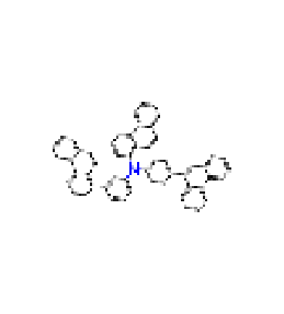 c1cc(-c2cccc3c2ccc2ccccc23)cc(N(c2ccc(-c3cc4ccccc4c4ccccc34)cc2)c2cccc3c2ccc2ccccc23)c1